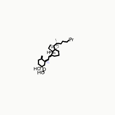 C=C1CC[C@](O)(OO)C/C1=C/C=C1CCC[C@]2(C)[C@@H]([C@H](C)CCCC(C)C)CC[C@@H]12